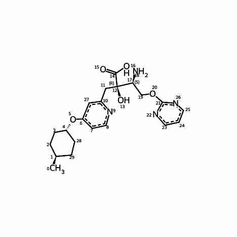 C[C@H]1CC[C@H](Oc2ccnc(C[C@](O)(C(=O)O)[C@@H](N)COc3ncccn3)c2)CC1